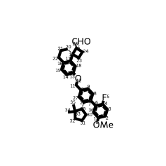 COc1ccc(F)c(-c2ccc(COc3ccc4c(c3)[C@]3(CCC4)CC[C@H]3C=O)cc2[C@@H]2CCCC2(C)C)c1